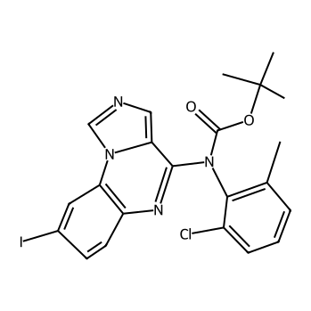 Cc1cccc(Cl)c1N(C(=O)OC(C)(C)C)c1nc2ccc(I)cc2n2cncc12